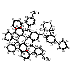 CC(C)(C)c1ccc(N2c3cc(N4c5ccc(-c6ccccc6)cc5C5(C)CCCCC45C)cc4c3B3c5c2cccc5[Si](c2ccccc2)(c2ccccc2)c2cccc(c23)N4c2ccc(C(C)(C)C)cc2-c2ccccc2)c(-c2ccccc2)c1